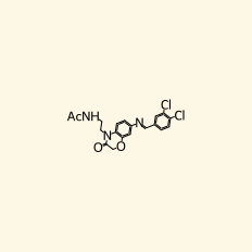 CC(=O)NCCN1C(=O)COc2cc(N=Cc3ccc(Cl)c(Cl)c3)ccc21